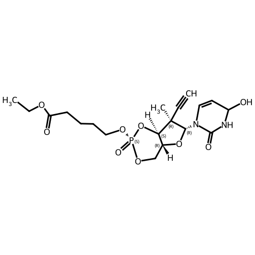 C#C[C@]1(C)[C@@H]2O[P@@](=O)(OCCCCC(=O)OCC)OC[C@H]2O[C@H]1N1C=CC(O)NC1=O